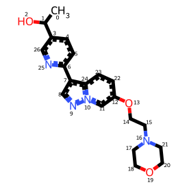 CC(O)c1ccc(-c2cnn3cc(OCCN4CCOCC4)ccc23)nc1